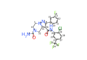 NC(=O)N1CCn2nc(-c3cccc(F)c3)c(C(=O)Nc3cc(C(F)(F)F)ccc3Cl)c2C1